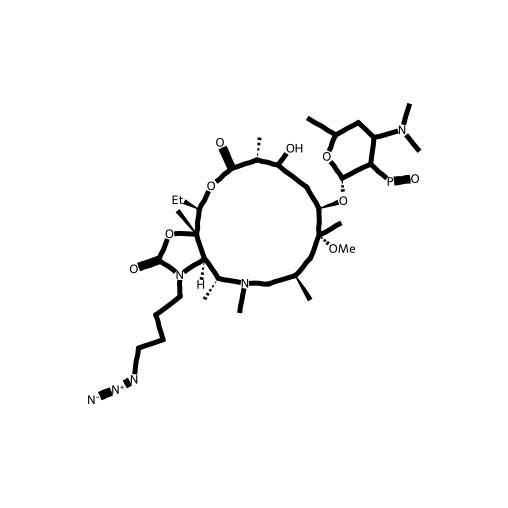 CC[C@H]1OC(=O)[C@H](C)C(O)C[C@@H](O[C@@H]2OC(C)CC(N(C)C)C2P=O)[C@](C)(OC)C[C@@H](C)CN(C)[C@H](C)[C@H]2N(CCCCN=[N+]=[N-])C(=O)O[C@]12C